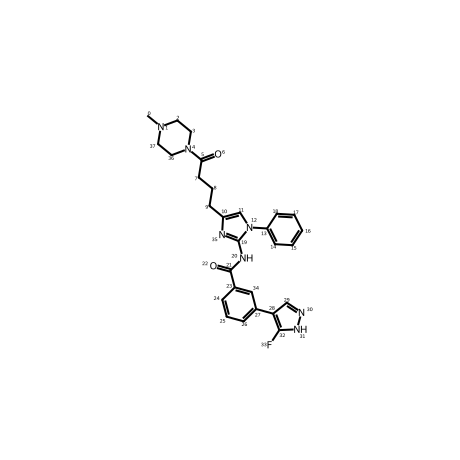 CN1CCN(C(=O)CCCc2cn(-c3ccccc3)c(NC(=O)c3cccc(-c4cn[nH]c4F)c3)n2)CC1